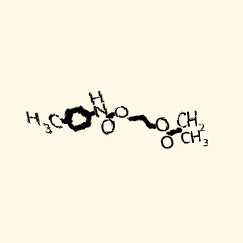 C=C(C)C(=O)OCCCOC(=O)Nc1ccc(C)cc1